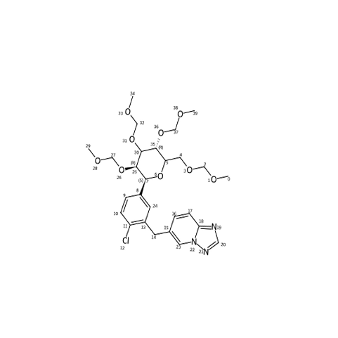 COCOCC1O[C@@H](c2ccc(Cl)c(Cc3ccc4ncnn4c3)c2)[C@@H](OCOC)C(OCOC)[C@@H]1OCOC